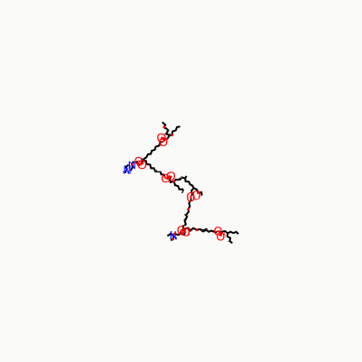 CCCCCC(CCCCC)CC(=O)OCCCCCCCCCC1(CCCCCCCCCOC(=O)CC(CCCCC)CCCC(C)CCCCC(CCCC)CC(=O)OCCCCCCCCCCC2(CCCCCCCCCCOC(=O)CC(CCCC)CCCC)OCC(CCN(CC)CC)O2)OCC(CN2CCN(C)CC2)O1